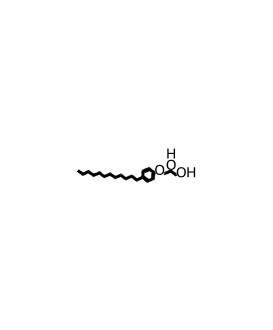 CCCCCCCCCCCCc1ccc(OCC(O)CO)cc1